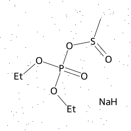 CCOP(=O)(OCC)OS(C)=O.[NaH]